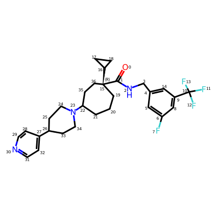 O=C(NCc1cc(F)cc(C(F)(F)F)c1)[C@]1(C2CC2)CCCC(N2CCC(c3ccncc3)CC2)CC1